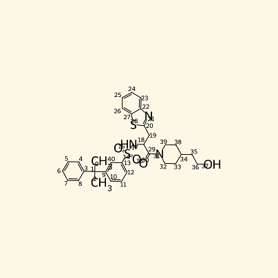 CC(C)(c1ccccc1)c1cccc(S(=O)(=O)NC(Cc2nc3ccccc3s2)C(=O)N2CCC(CCO)CC2)c1